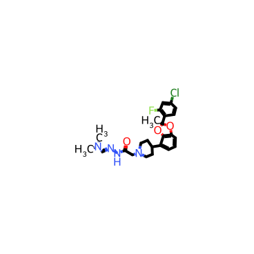 CN(C)C=NNC(=O)CN1CCC(c2cccc3c2OC(C)(c2ccc(Cl)cc2F)O3)CC1